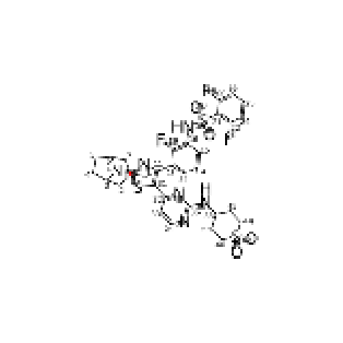 CN1CC2CCC(C1)N2c1nc(-c2cccc(NS(=O)(=O)c3c(F)cccc3F)c2F)c(-c2ccnc(NC3CCS(=O)(=O)CC3)n2)s1